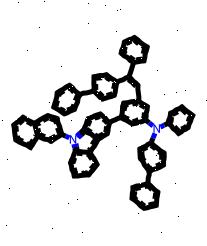 C(=C(c1ccccc1)c1ccc(-c2ccccc2)cc1)c1cc(-c2ccc3c(c2)c2ccccc2n3-c2ccc3ccccc3c2)cc(N(c2ccccc2)c2ccc(-c3ccccc3)cc2)c1